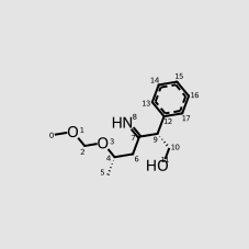 COCO[C@@H](C)CC(=N)[C@@H](CO)c1ccccc1